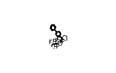 CC(F)C(F)(F)C(F)(F)OC(F)(F)C(Cl)c1ccc(-c2ccccc2)cc1